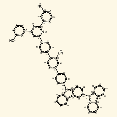 N#Cc1cccc(-c2cc(-c3ccc(-c4ccc(-c5ccc(-n6c7ccccc7c7cc(-n8c9ccccc9c9ccccc98)ccc76)cc5)cc4C#N)cc3)nc(-c3cccc(C#N)c3)n2)c1